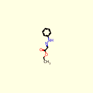 CCOC(=O)C=NNc1ccccc1